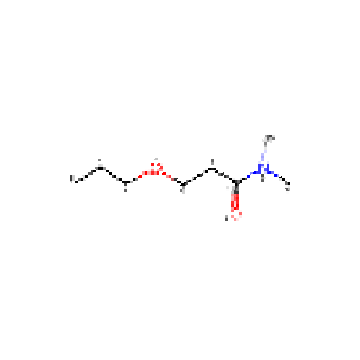 [CH2]CCOCCC(=O)N(C)C